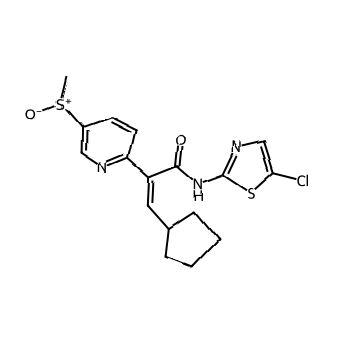 C[S+]([O-])c1ccc(C(=CC2CCCC2)C(=O)Nc2ncc(Cl)s2)nc1